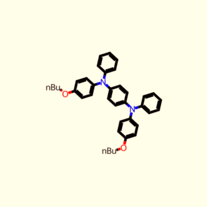 CCCCOc1ccc(N(c2ccccc2)c2ccc(N(c3ccccc3)c3ccc(OCCCC)cc3)cc2)cc1